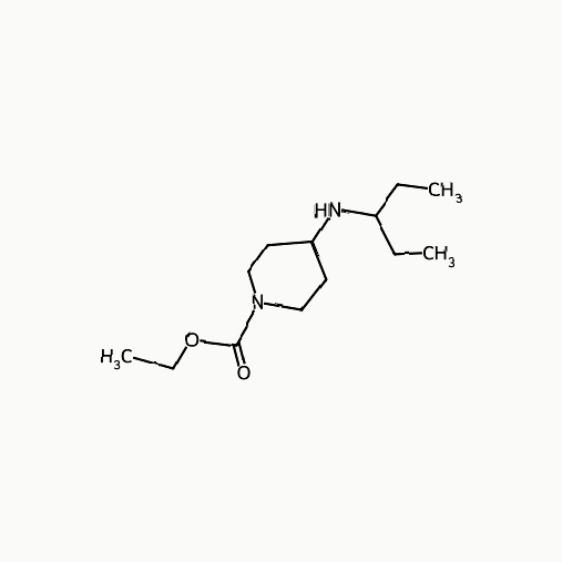 CCOC(=O)N1CCC(NC(CC)CC)CC1